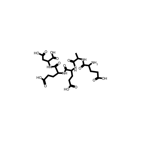 CC(NC(=O)C(N)CCC(=O)O)C(=O)NC(CCC(=O)O)C(=O)NC(CCC(=O)O)C(=O)NC(CC(=O)O)C(=O)O